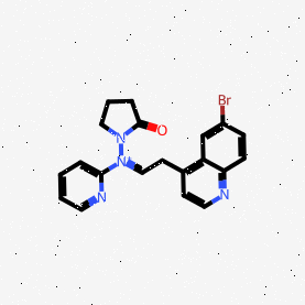 O=C1CCCN1[N+](=CCc1ccnc2ccc(Br)cc12)c1ccccn1